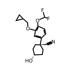 N#C[C@]1(c2ccc(OC(F)F)c(OCC3CC3)c2)CC[C@@H](O)CC1